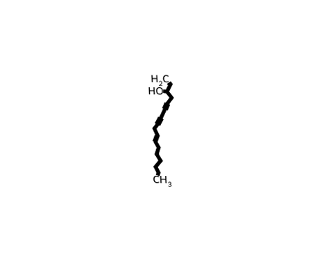 C=CC(O)CC#CC#CCC=CCCCCCC